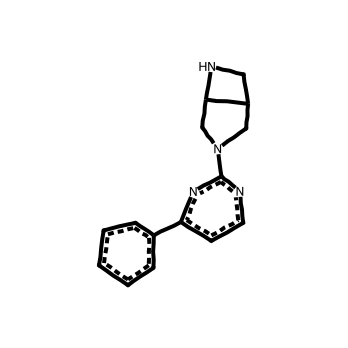 c1ccc(-c2ccnc(N3CC4CNC4C3)n2)cc1